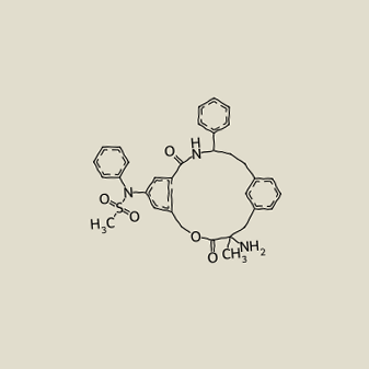 CC1(N)Cc2cccc(c2)CCC(c2ccccc2)NC(=O)c2cc(cc(N(c3ccccc3)S(C)(=O)=O)c2)COC1=O